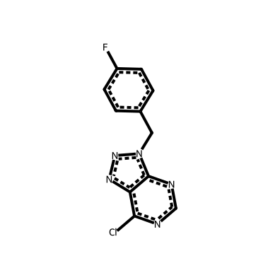 Fc1ccc(Cn2nnc3c(Cl)ncnc32)cc1